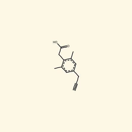 C#CCc1cc(C)c(CC(=O)O)c(C)c1